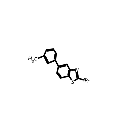 Cc1cccc(-c2ccc3sc(C(C)C)nc3c2)c1